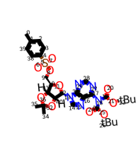 Cc1ccc(S(=O)(=O)OC[C@H]2O[C@@H](n3cnc4c(N(C(=O)OC(C)(C)C)C(=O)OC(C)(C)C)ncnc43)[C@@H]3OC(C)(C)O[C@@H]32)cc1